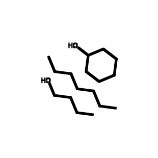 CCCCCCC.CCCCO.OC1CCCCC1